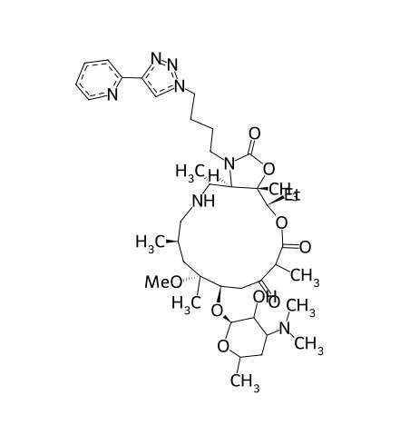 CC[C@H]1OC(=O)C(C)C(=O)C[C@@H](O[C@@H]2OC(C)CC(N(C)C)C2O)[C@](C)(OC)C[C@@H](C)CN[C@H](C)[C@H]2N(CCCCn3cc(-c4ccccn4)nn3)C(=O)O[C@]12C